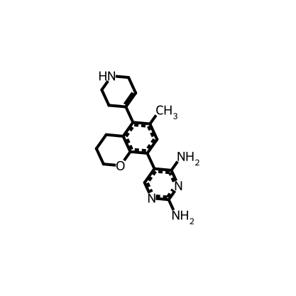 Cc1cc(-c2cnc(N)nc2N)c2c(c1C1=CCNCC1)CCCO2